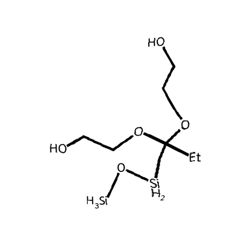 CCC(OCCO)(OCCO)[SiH2]O[SiH3]